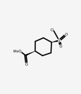 COC(=O)[C@H]1CC[C@@H](S(=O)(=O)Cl)CC1